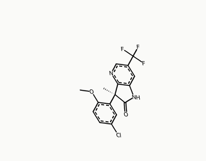 COc1ccc(Cl)cc1[C@]1(C)C(=O)Nc2cc(C(F)(F)F)cnc21